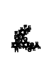 O=C(N[C@H](c1ccc(S(=O)(=O)CC2CC2)cc1)C1N[C@@H]2CC[C@H]1C2)c1cc(C(F)(F)F)ccc1C(F)(F)F